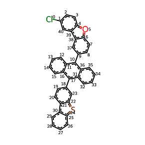 Clc1ccc2oc3ccc(-c4c5ccccc5c(-c5ccc6c(c5)sc5ccccc56)c5ccccc45)cc3c2c1